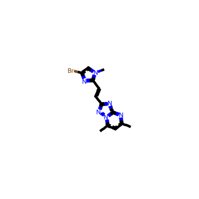 Cc1cc(C)n2nc(C=Cc3nc(Br)cn3C)nc2n1